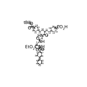 CCOC(=O)[C@H](CNC(=O)CNC(=O)C(CCC1CCN(C(=O)O)CC1)CCC1CCN(C(=O)OC(C)(C)C)CC1)NS(=O)(=O)c1ccc(-c2ccccc2)cc1